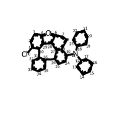 Clc1ccc2oc3ccc4c(N(c5ccccc5)c5ccccc5)ccc5c4c3c2c1-c1ccccc1-5